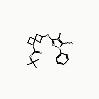 Cc1c(OC2CC3(CCN3C(=O)OC(C)(C)C)C2)nn(-c2ccccc2)c1N